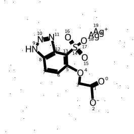 O=C([O-])COc1ccc2[nH]nnc2c1S(=O)(=O)[O-].[Ag+].[Ag+]